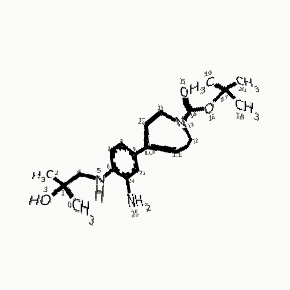 CC(C)(O)CNc1ccc(C2=CCN(C(=O)OC(C)(C)C)CC2)cc1N